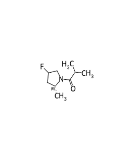 CC(C)C(=O)N1CC(F)C[C@H]1C